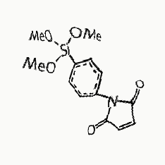 CO[Si](OC)(OC)c1ccc(N2C(=O)C=CC2=O)cc1